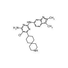 Cc1c2ccc(Nc3nc(N)c(Cl)c(C4CCC5(CCNCC5)CC4)n3)cc2nn1C